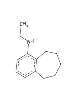 CCNc1cccc2c1CCCCC2